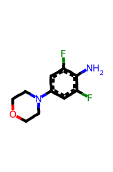 Nc1c(F)cc(N2CCOCC2)cc1F